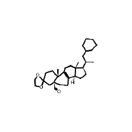 C[C@H](CC1CCCCC1)[C@H]1CC[C@H]2C3=C(CC[C@]12C)[C@@]1(C)CCC2(C[C@@]1(C=O)CC3)OCCO2